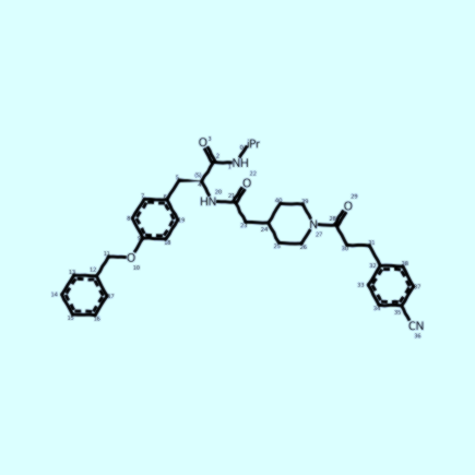 CC(C)NC(=O)[C@H](Cc1ccc(OCc2ccccc2)cc1)NC(=O)CC1CCN(C(=O)CCc2ccc(C#N)cc2)CC1